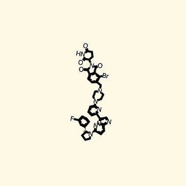 O=C1CCC(N2C(=O)c3ccc(CN4CCN(c5cccc(-c6cnc7ccc(N8CCC[C@@H]8c8cccc(F)c8)nn67)n5)CC4)c(Br)c3C2=O)C(=O)N1